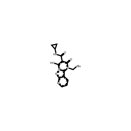 CC(C)(C)Cn1c(=O)c(C(=O)NC2CC2)c(O)n2nc3ncccc3c12